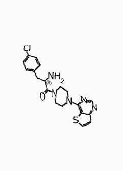 N[C@H](Cc1ccc(Cl)cc1)C(=O)N1CCN(c2ncnc3ccsc23)CC1